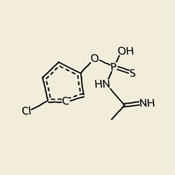 CC(=N)NP(O)(=S)Oc1ccc(Cl)cc1